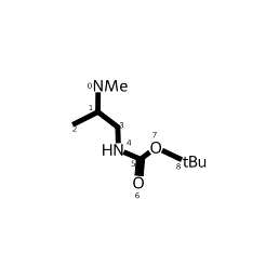 CNC(C)CNC(=O)OC(C)(C)C